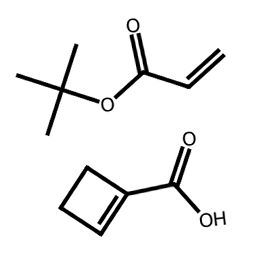 C=CC(=O)OC(C)(C)C.O=C(O)C1=CCC1